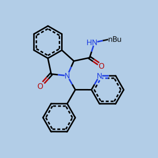 CCCCNC(=O)C1c2ccccc2C(=O)N1C(c1ccccc1)c1ccccn1